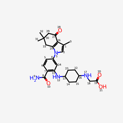 Cc1cn(-c2ccc(C(N)=O)c(NC3CCC(NCC(=O)O)CC3)c2)c2c1C(=O)CC(C)(C)C2